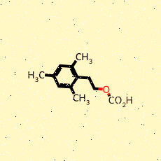 Cc1cc(C)c(CCOC(=O)O)c(C)c1